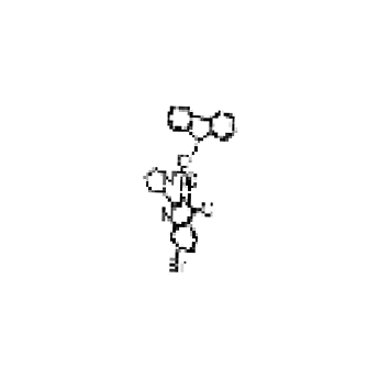 O=C(OCC1c2ccccc2-c2ccccc21)N1CCCC1c1nc2cc(Br)ccc2c(=O)[nH]1